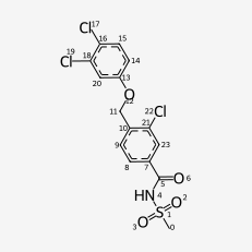 CS(=O)(=O)NC(=O)c1ccc(COc2ccc(Cl)c(Cl)c2)c(Cl)c1